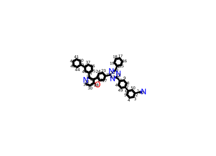 N#Cc1cccc(-c2ccc(-c3nc(-c4ccccc4)nc(-c4ccc5c(c4)oc4ccnc(-c6cccc(-c7ccccc7)c6)c45)n3)cc2)c1